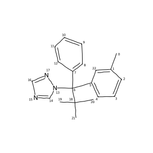 Cc1cccc(C(c2ccccc2)(n2cncn2)C(C)(C)C)c1